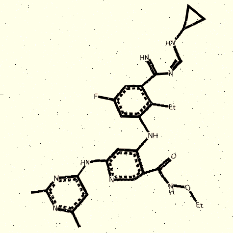 CCONC(=O)c1cnc(Nc2cc(C)nc(C)n2)cc1Nc1cc(F)cc(C(=N)/N=C\NC2CC2)c1CC